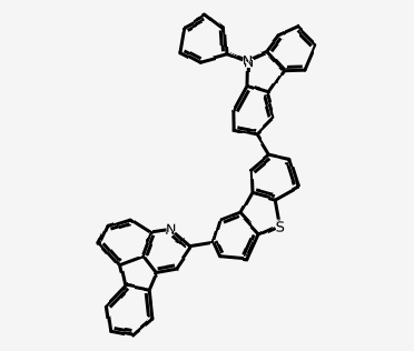 c1ccc(-n2c3ccccc3c3cc(-c4ccc5sc6ccc(-c7cc8c9c(cccc9n7)-c7ccccc7-8)cc6c5c4)ccc32)cc1